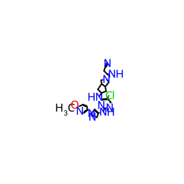 COc1ccc(-n2cc(Nc3ncc(Cl)c(NC4CC5CN(C(=N)CC#N)CC5C4)n3)cn2)cn1